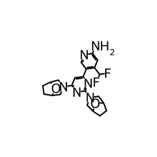 Nc1cc(C(F)F)c(-c2cc(N3CC4CCC(C3)O4)nc(N3CC4CCC(C3)O4)n2)cn1